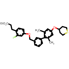 CCOC(=O)CCc1ccc(OCc2cccc(-c3c(C)cc(OC4CCSCC4)cc3C)c2)cc1F